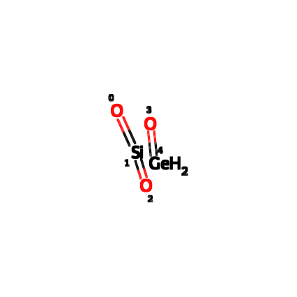 O=[Si]=O.[O]=[GeH2]